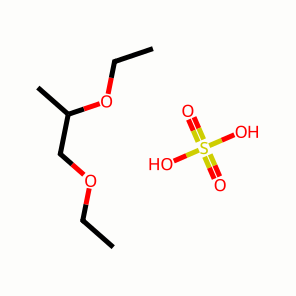 CCOCC(C)OCC.O=S(=O)(O)O